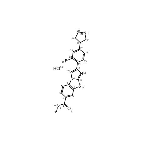 CNC(=O)c1ccc2c(c1)sc1nc(-c3ccc(C4CCNC4)cc3F)cn12.Cl